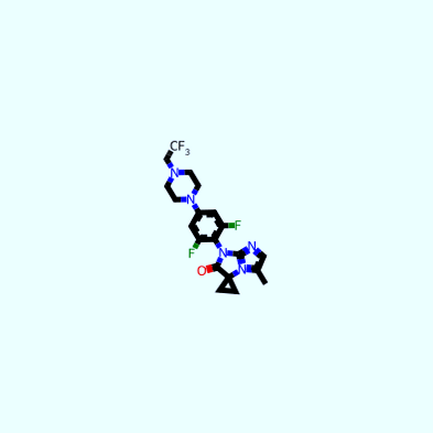 Cc1cnc2n1C1(CC1)C(=O)N2c1c(F)cc(N2CCN(CC(F)(F)F)CC2)cc1F